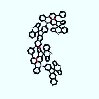 c1ccc(-c2ccc(-c3ccccc3N(c3ccc4c(c3)C3(c5ccccc5Oc5ccccc53)c3ccccc3-4)c3ccc4c(c3)C3(c5ccccc5Sc5ccccc53)c3cc5cc(-c6cccc(-c7ccc(-c8ccccc8N(c8ccc9c(c8)-c8cc%10ccccc%10cc8C98c9ccccc9Sc9ccccc98)c8ccc9c(c8)C8(c%10ccccc%10Oc%10ccccc%108)c8ccccc8-9)cc7)c6)ccc5cc3-4)cc2)cc1